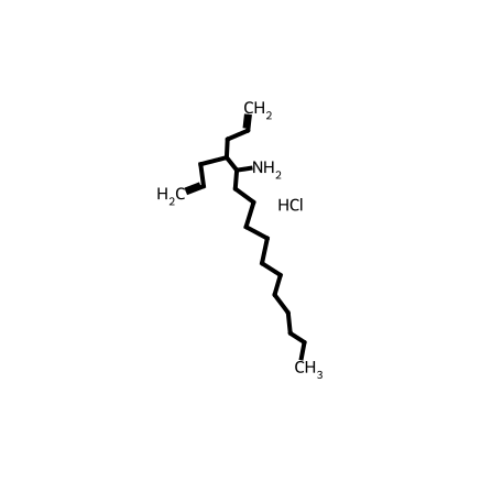 C=CCC(CC=C)C(N)CCCCCCCCCCC.Cl